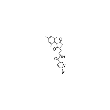 Cc1cc(C)c(C2C(=O)CC(CCNC(=O)c3ccc(F)nc3)C2=O)c(C)c1